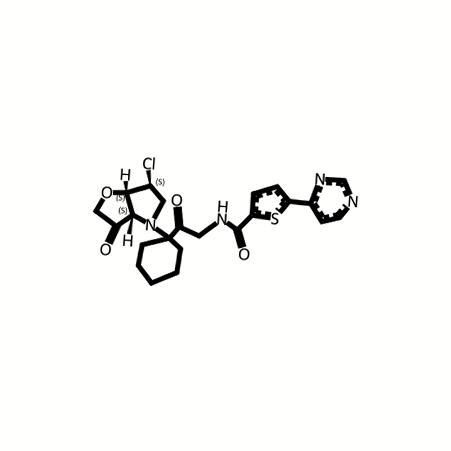 O=C(NCC(=O)C1(N2C[C@H](Cl)[C@H]3OCC(=O)[C@H]32)CCCCC1)c1ccc(-c2ccncn2)s1